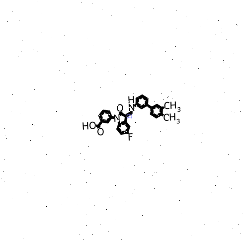 Cc1ccc(-c2cccc(N/C=C3\C(=O)N(c4cccc(C(=O)O)c4)c4ccc(F)cc43)c2)cc1C